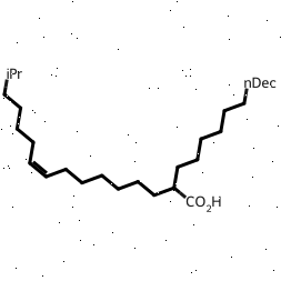 CCCCCCCCCCCCCCCCC(CCCCCC/C=C\CCCCC(C)C)C(=O)O